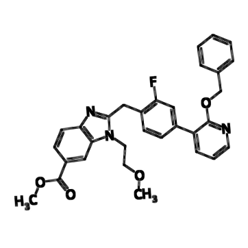 COCCn1c(Cc2ccc(-c3cccnc3OCc3ccccc3)cc2F)nc2ccc(C(=O)OC)cc21